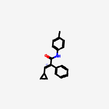 Cc1ccc(NC(=O)/C(=C/C2CC2)c2ccccc2)cc1